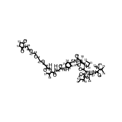 CC[C@H](C)[C@@H]([C@@H](CC(=O)N1CCC[C@H]1[C@H](OC)[C@@H](C)C(=O)NSc1ccc(NC(=O)CNC(=O)C(NC(=O)CCOCCOCCOCCN2C(=O)CCC2=O)C(C)C)cc1)OC)N(C)C(=O)CNC(=O)C(C(C)C)N(C)C